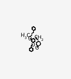 C=CC[C@H]1CCCC(=O)C[C@@H]1c1ccc(O[C@H](C)CCCc2ccccc2)cc1OCc1ccccc1